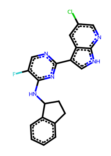 Fc1cnc(-c2c[nH]c3ncc(Cl)cc23)nc1NC1CCc2ccccc21